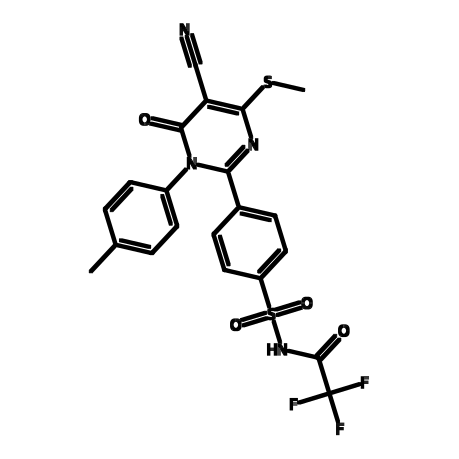 CSc1nc(-c2ccc(S(=O)(=O)NC(=O)C(F)(F)F)cc2)n(-c2ccc(C)cc2)c(=O)c1C#N